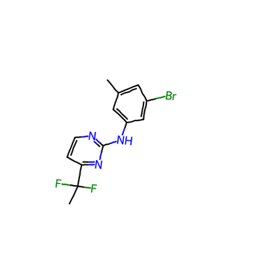 Cc1cc(Br)cc(Nc2nccc(C(C)(F)F)n2)c1